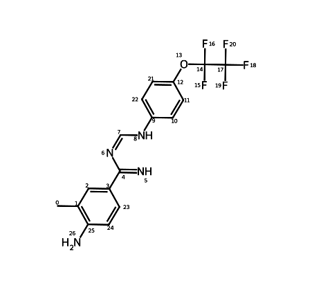 Cc1cc(C(=N)/N=C\Nc2ccc(OC(F)(F)C(F)(F)F)cc2)ccc1N